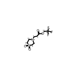 O=C(CCN1CCS(=O)(=O)CC1)OCC(F)(F)F